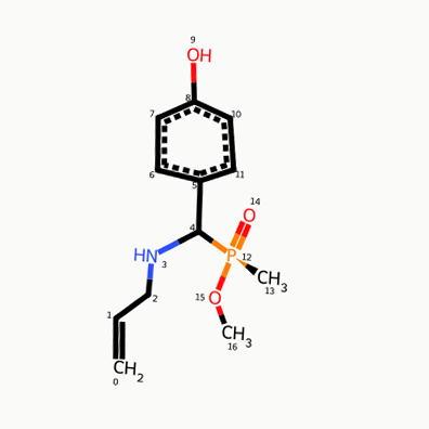 C=CCNC(c1ccc(O)cc1)[P@](C)(=O)OC